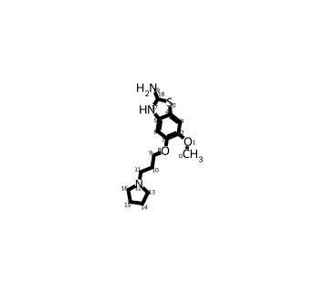 COc1cc2c(cc1OCCCN1CCCC1)NC(N)S2